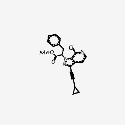 COC(=O)C(Cc1ccccc1)n1nc(C#CC2CC2)c2ccnc(Cl)c21